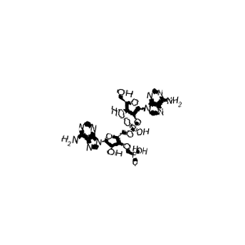 Nc1ncnc2c1ncn2[C@@H]1O[C@H](COP(=O)(O)O[C@H]2C(O)[C@@H](CO)O[C@H]2n2cnc3c(N)ncnc32)C(OC[PH](=O)O)[C@@H]1O